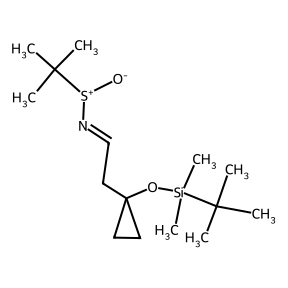 CC(C)(C)[S+]([O-])N=CCC1(O[Si](C)(C)C(C)(C)C)CC1